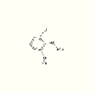 CCCCOc1[c]ccc(Cl)c1OCCCC